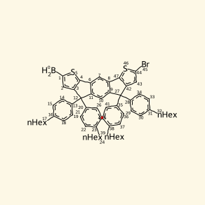 Bc1cc2c(s1)-c1cc3c(cc1C2(c1ccc(CCCCCC)cc1)c1ccc(CCCCCC)cc1)C(c1ccc(CCCCCC)cc1)(c1ccc(CCCCCC)cc1)c1cc(Br)sc1-3